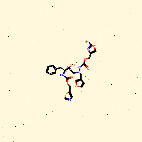 CC(C)c1nc(COC(=O)NN(Cc2ccoc2)C[C@H](O)[C@H](Cc2ccccc2)NC(=O)OCc2cncs2)co1